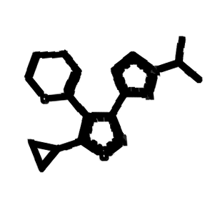 CC(C)n1ccc(-c2noc(C3CC3)c2C2=CCCCO2)n1